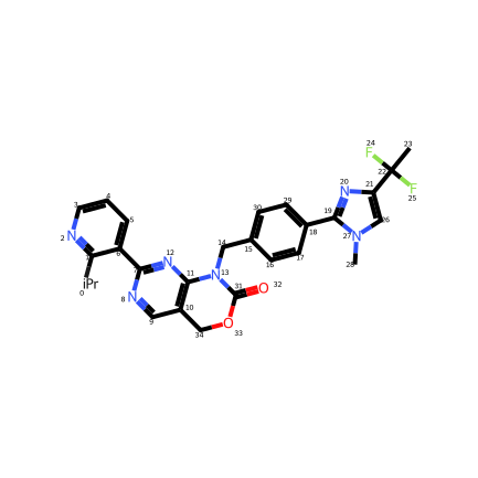 CC(C)c1ncccc1-c1ncc2c(n1)N(Cc1ccc(-c3nc(C(C)(F)F)cn3C)cc1)C(=O)OC2